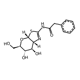 O=C(Cc1ccccc1)NC1=N[C@@H]2[C@@H](O)[C@H](O)[C@@H](CO)O[C@@H]2S1